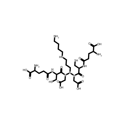 NCCCCNCCCN(N(CC(=O)O)C(=O)C(CS)NC(=O)CCC(N)C(=O)O)N(CC(=O)O)C(=O)C(CS)NC(=O)CCC(N)C(=O)O